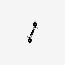 Cc1ccc(C(=O)OCCCCCCOC(=O)c2ccc(C)cc2)cc1